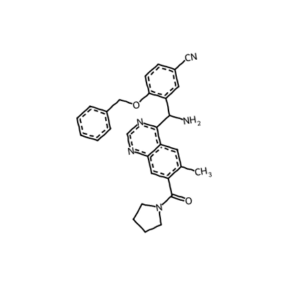 Cc1cc2c(C(N)c3cc(C#N)ccc3OCc3ccccc3)ncnc2cc1C(=O)N1CCCC1